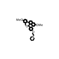 COc1ccc2c(c1)COC(c1ccc(OCCN3CCCCC3)cc1)c1c-2ccc2cc(OC)ccc12